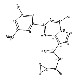 COc1cc(F)cc(-c2cc(C)n3cnc(C(=O)N[C@@H](C)C4CC4)c3n2)c1